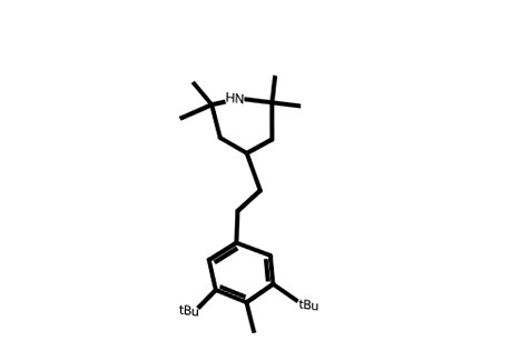 Cc1c(C(C)(C)C)cc(CCC2CC(C)(C)NC(C)(C)C2)cc1C(C)(C)C